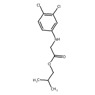 CC(C)COC(=O)CNc1ccc(Cl)c(Cl)c1